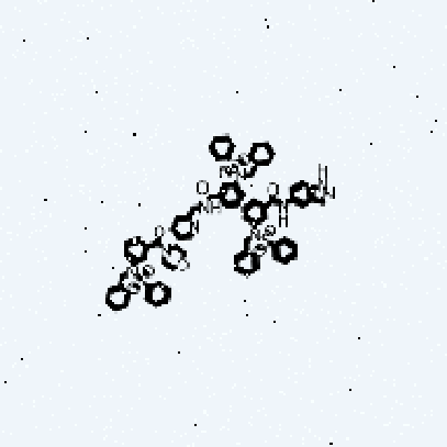 O=C(NCc1ccccn1)c1cccc(N(Cc2ccccc2)S(=O)(=O)c2ccccc2)c1.O=C(Nc1ccc2[nH]ncc2c1)c1cccc(N(Cc2ccccc2)S(=O)(=O)c2ccccc2)c1.O=C(c1cccc(N(Cc2ccccc2)S(=O)(=O)c2ccccc2)c1)N1CCOCC1